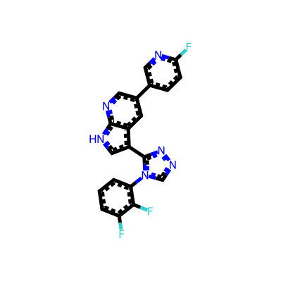 Fc1ccc(-c2cnc3[nH]cc(-c4nncn4-c4cccc(F)c4F)c3c2)cn1